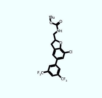 CC(C)(C)OC(=O)NCC1Cc2cc(-c3cc(C(F)(F)F)cc(C(F)(F)F)c3)cc(Cl)c2O1